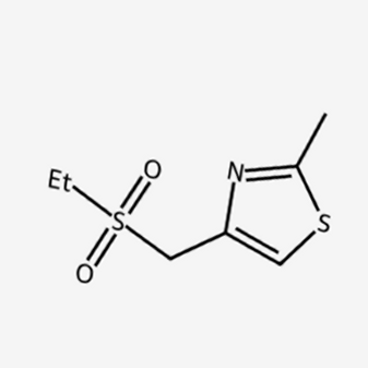 CCS(=O)(=O)Cc1csc(C)n1